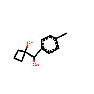 Cc1ccc(C(O)C2(O)CCC2)cc1